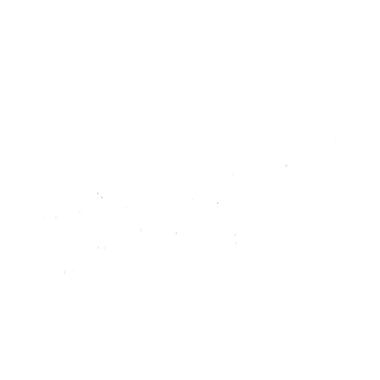 Cc1cc(C(=O)OCc2ccccc2)ccc1NC(=O)OC(C)(C)C